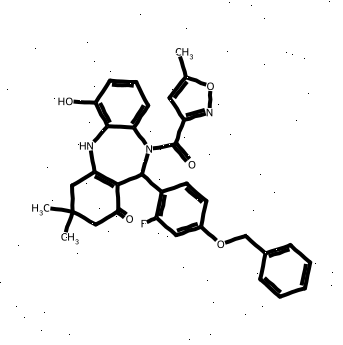 Cc1cc(C(=O)N2c3cccc(O)c3NC3=C(C(=O)CC(C)(C)C3)C2c2ccc(OCc3ccccc3)cc2F)no1